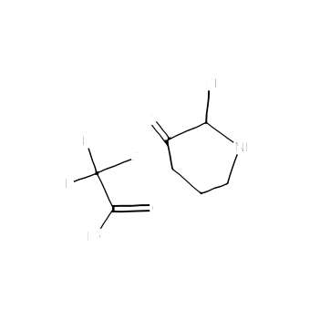 CC1NCCCC1=O.O=C(O)C(F)(F)F